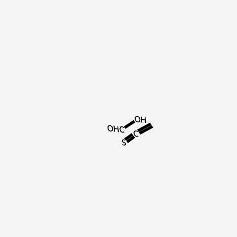 C=C=S.O=CO